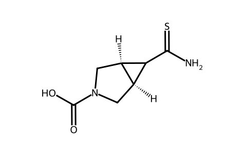 NC(=S)C1[C@H]2CN(C(=O)O)C[C@@H]12